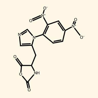 O=C1NC(Cc2cncn2-c2ccc([N+](=O)[O-])cc2[N+](=O)[O-])C(=O)O1